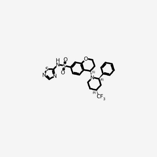 O=S(=O)(Nc1ncns1)c1ccc2c(c1)OCC[C@@H]2N1CC[C@@H](C(F)(F)F)C[C@@H]1c1ccccc1